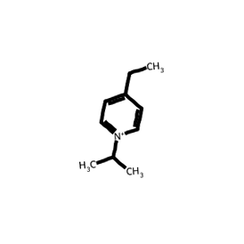 CCc1cc[n+](C(C)C)cc1